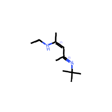 CCN/C(C)=C\C(C)=N\C(C)(C)C